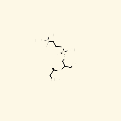 CCCCCCCCCCCC(=O)OC(CO)COP(=O)(O)OCC[N+](C)(C)C